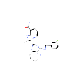 Cc1nc2c(C(N)=O)cccn2c1-c1nc2c(c(NCc3cccc(F)c3)n1)NCCCC2